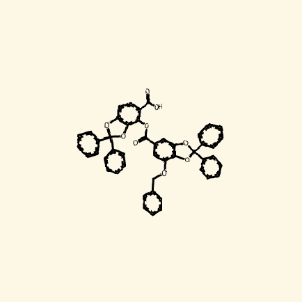 O=C(Oc1c(C(=O)O)ccc2c1OC(c1ccccc1)(c1ccccc1)O2)c1cc(OCc2ccccc2)c2c(c1)OC(c1ccccc1)(c1ccccc1)O2